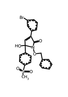 CS(=O)(=O)c1ccc(C2(O)C=C(c3cccc(Br)c3)C(=O)N2OCc2ccccc2)cc1